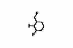 FCC1CCCC(F)C1I